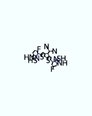 N#CC(C#N)=C1c2cc(C3=CC(F)=CC(=N)/C3=N\S)sc2-c2sc(C3=C(F)C=CC(=N)/C3=N\S)cc21